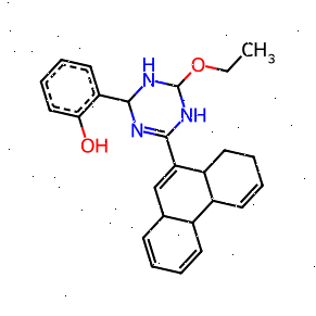 CCOC1NC(C2=CC3C=CC=CC3C3C=CCCC23)=NC(c2ccccc2O)N1